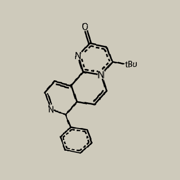 CC(C)(C)c1cc(=O)nc2n1C=CC1C2=CC=NC1c1ccccc1